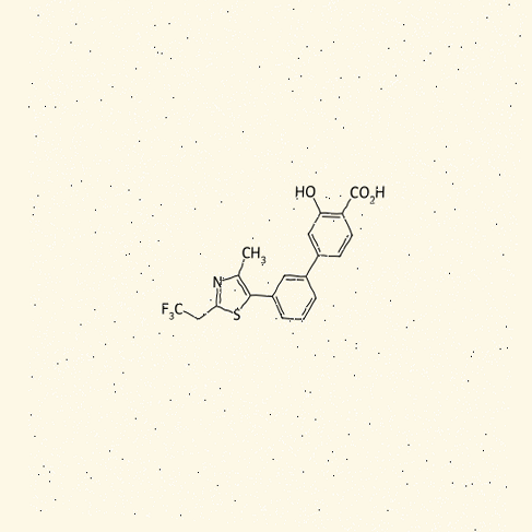 Cc1nc(CC(F)(F)F)sc1-c1cccc(-c2ccc(C(=O)O)c(O)c2)c1